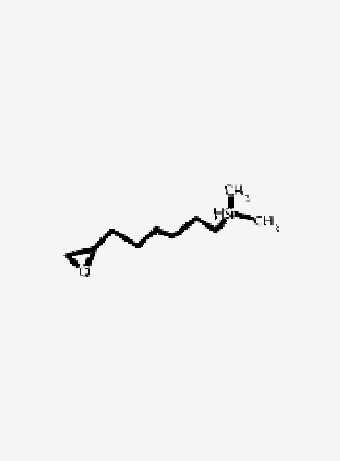 C[SiH](C)CCCCCCC1CO1